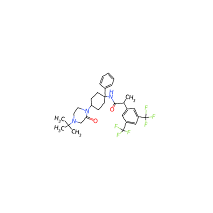 CC(C(=O)NC1(c2ccccc2)CCC(N2CCN(C(C)(C)C)CC2=O)CC1)c1cc(C(F)(F)F)cc(C(F)(F)F)c1